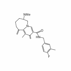 C=C1CCCC(NC)CN2C=C(C(=O)NCc3ccc(F)c(C)c3)C(=C)C(C)=C12